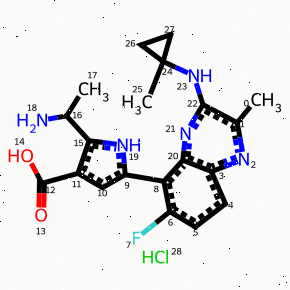 Cc1nc2ccc(F)c(-c3cc(C(=O)O)c(C(C)N)[nH]3)c2nc1NC1(C)CC1.Cl